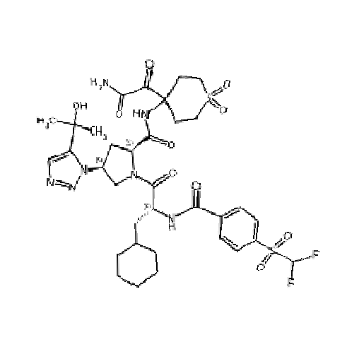 CC(C)(O)c1cnnn1[C@H]1C[C@@H](C(=O)NC2(C(=O)C(N)=O)CCS(=O)(=O)CC2)N(C(=O)[C@@H](CC2CCCCC2)NC(=O)c2ccc(S(=O)(=O)C(F)F)cc2)C1